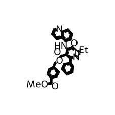 CCn1nc(-c2ccccc2)c(C(=O)OCc2ccc(C(=O)OC)cc2)c(Nc2cccc3ncccc23)c1=O